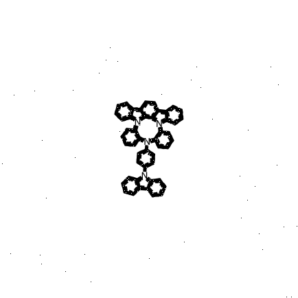 c1ccc2c(c1)c1ccccc1n2-c1ccc(-n2c3ccccc3n3c4ccccc4c4ccc5c6ccccc6n(c6ccccc62)c5c43)cc1